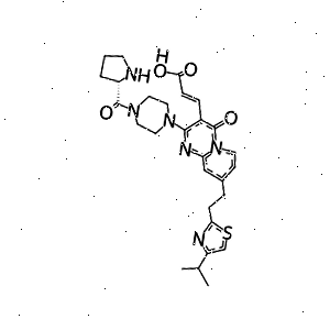 CC(C)c1csc(CCc2ccn3c(=O)c(/C=C/C(=O)O)c(N4CCN(C(=O)[C@@H]5CCCN5)CC4)nc3c2)n1